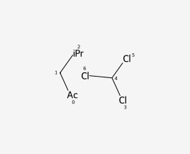 CC(=O)CC(C)C.ClC(Cl)Cl